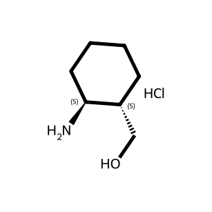 Cl.N[C@H]1CCCC[C@@H]1CO